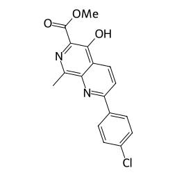 COC(=O)c1nc(C)c2nc(-c3ccc(Cl)cc3)ccc2c1O